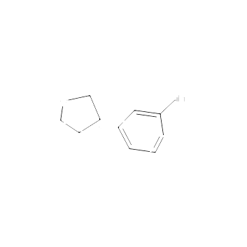 CC(C)c1cccc([C@@H]2CCOC2)c1